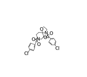 O=S(=O)(c1ccc(Cl)cc1)N1CCC2(CC1)OCCN2S(=O)(=O)c1ccc(Cl)cc1